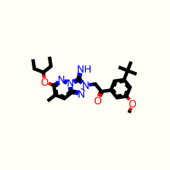 CCC(CC)Oc1nn2c(=N)n(CC(=O)c3cc(OC)cc(C(C)(C)C)c3)nc2cc1C